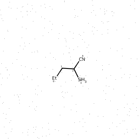 CCCC([SiH3])C#N